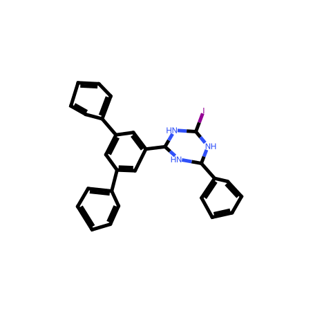 IC1NC(c2ccccc2)NC(c2cc(-c3ccccc3)cc(-c3ccccc3)c2)N1